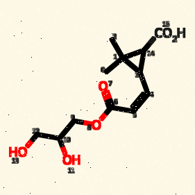 CC1(C)C(/C=C\C(=O)OCC(O)CO)C1C(=O)O